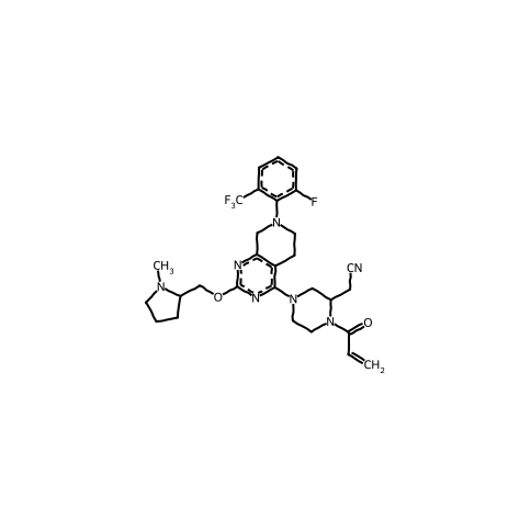 C=CC(=O)N1CCN(c2nc(OCC3CCCN3C)nc3c2CCN(c2c(F)cccc2C(F)(F)F)C3)CC1CC#N